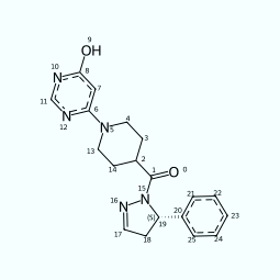 O=C(C1CCN(c2cc(O)ncn2)CC1)N1N=CC[C@H]1c1ccccc1